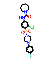 O=C(Nc1ccc(S(=O)(=O)N2CCN(c3ccc(F)cc3)CC2)c(Cl)c1)N1CCCCCC1